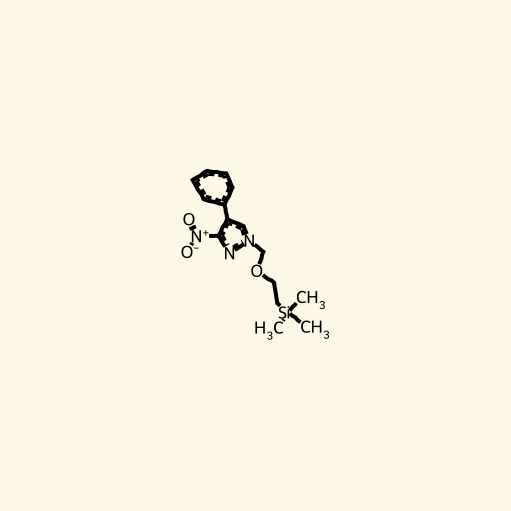 C[Si](C)(C)CCOCn1cc(-c2ccccc2)c([N+](=O)[O-])n1